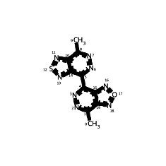 Cc1nnc(-c2nnc(C)c3nsnc23)c2nonc12